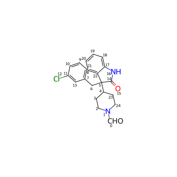 O=CN1CCC(C2(Cc3cccc(Cl)c3)C(=O)Nc3ccccc32)CC1